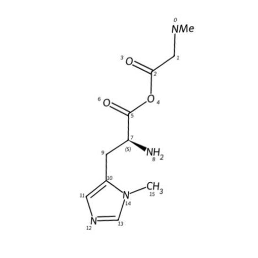 CNCC(=O)OC(=O)[C@@H](N)Cc1cncn1C